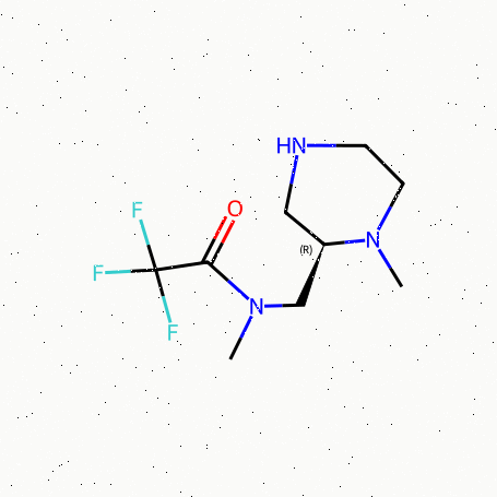 CN(C[C@H]1CNCCN1C)C(=O)C(F)(F)F